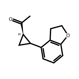 CC(=O)[C@@H]1CC1c1cccc2c1CCO2